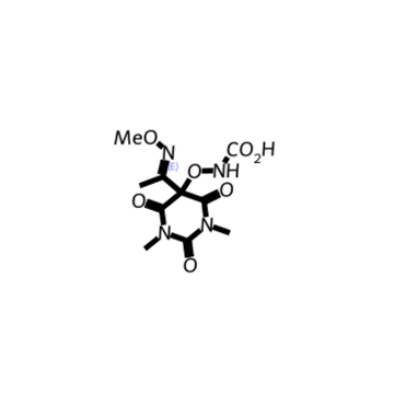 CO/N=C(\C)C1(ONC(=O)O)C(=O)N(C)C(=O)N(C)C1=O